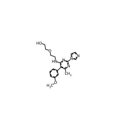 COc1cccc(-c2c(C)nc(-n3ccnc3)nc2NCCOCCO)c1